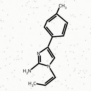 C/C=C\n1cc(-c2ccc(C)cc2)nc1N